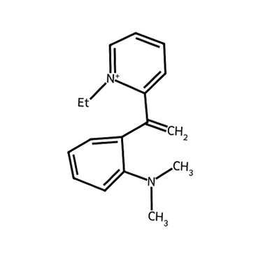 C=C(c1ccccc1N(C)C)c1cccc[n+]1CC